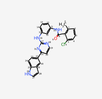 Cc1cccc(Cl)c1C(=O)Nc1cccc(Nc2nccc(-c3ccc4[nH]ccc4c3)n2)c1